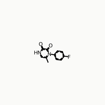 Cc1c[nH]c(=O)c(=O)n1-c1ccc(F)cc1